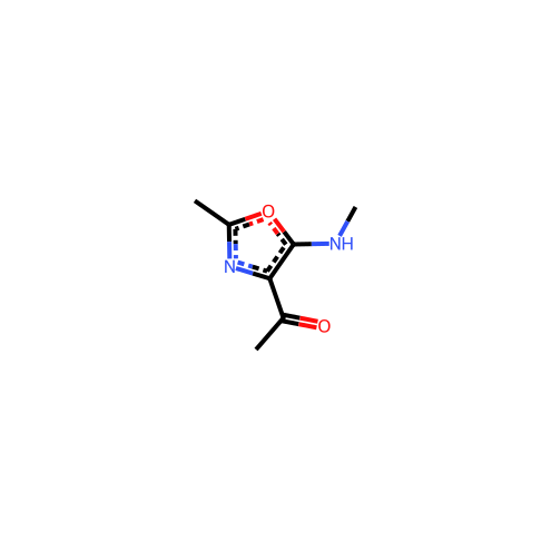 CNc1oc(C)nc1C(C)=O